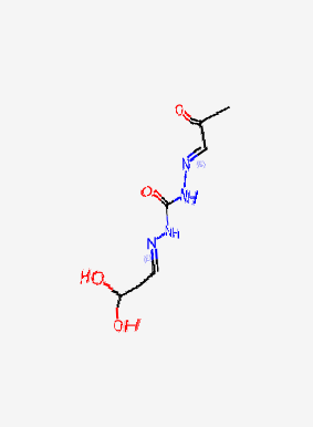 CC(=O)/C=N/NC(=O)N/N=C/C(O)O